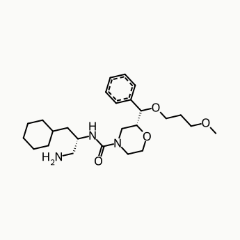 COCCCOC(c1ccccc1)[C@H]1CN(C(=O)N[C@H](CN)CC2CCCCC2)CCO1